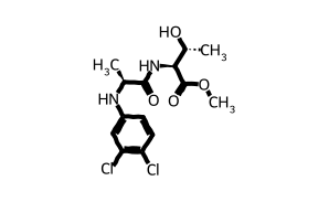 COC(=O)[C@@H](NC(=O)[C@H](C)Nc1ccc(Cl)c(Cl)c1)[C@@H](C)O